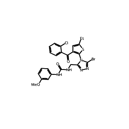 CCc1cc(C(=O)c2ccccc2Cl)c(-n2c(Br)nnc2CNC(=O)Nc2cccc(OC)c2)s1